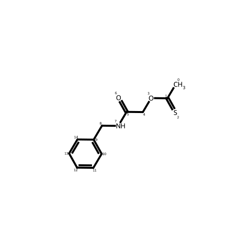 CC(=S)OCC(=O)NCc1ccccc1